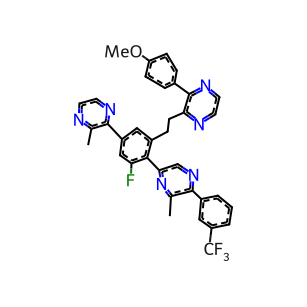 COc1ccc(-c2nccnc2CCc2cc(-c3nccnc3C)cc(F)c2-c2cnc(-c3cccc(C(F)(F)F)c3)c(C)n2)cc1